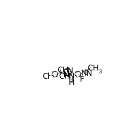 Cc1cn(-c2ccc(Nc3nccc(C(C)(C)c4ccc(Cl)cc4)n3)cc2F)cn1